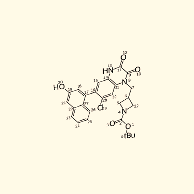 CC(C)(C)OC(=O)N1CC(Cn2c(=O)c(=O)[nH]c3cc(-c4cc(O)cc5ccccc45)c(Cl)cc32)C1